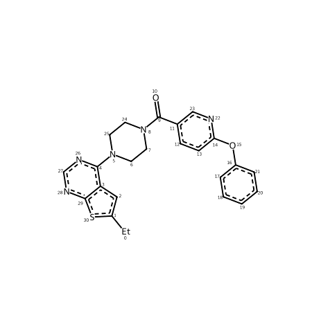 CCc1cc2c(N3CCN(C(=O)c4ccc(Oc5ccccc5)nc4)CC3)ncnc2s1